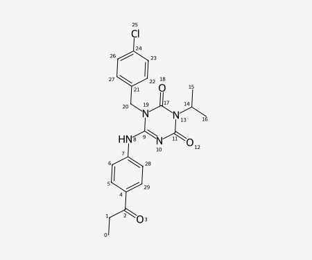 CCC(=O)c1ccc(Nc2nc(=O)n(C(C)C)c(=O)n2Cc2ccc(Cl)cc2)cc1